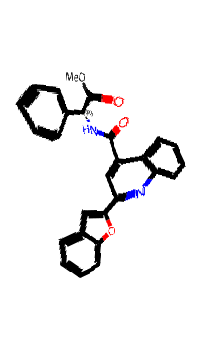 COC(=O)[C@H](NC(=O)c1cc(-c2cc3ccccc3o2)nc2ccccc12)c1ccccc1